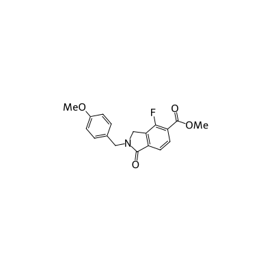 COC(=O)c1ccc2c(c1F)CN(Cc1ccc(OC)cc1)C2=O